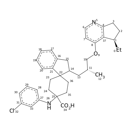 CC[C@@H]1CCc2nccc(OC[C@H](C)CC3Cc4ccccc4C34CCC(Nc3cccc(Cl)c3)(C(=O)O)CC4)c21